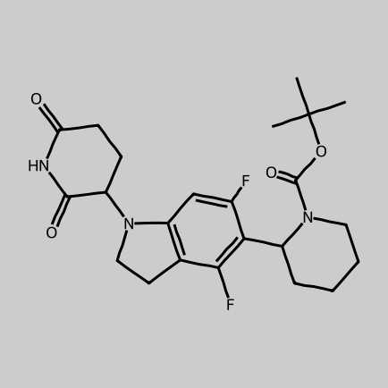 CC(C)(C)OC(=O)N1CCCCC1c1c(F)cc2c(c1F)CCN2C1CCC(=O)NC1=O